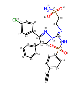 C#Cc1ccc(S(=O)(=O)NC(=NCCS(N)(=O)=O)N2C[C@@H](c3ccccc3)C(c3ccc(Cl)cc3)=N2)cc1